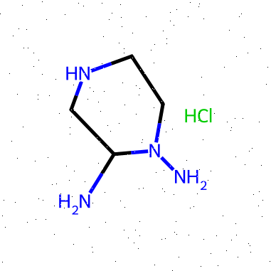 Cl.NC1CNCCN1N